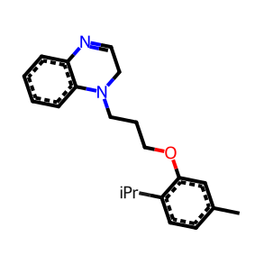 Cc1ccc(C(C)C)c(OCCCN2CC=Nc3ccccc32)c1